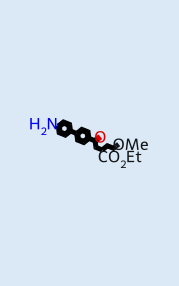 CCOC(=O)C(CCOC)CC(=O)c1ccc(-c2ccc(N)cc2)cc1